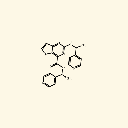 CC(Nc1nc(C(=O)N[C@@H](C)c2ccncc2)c2sccc2n1)c1ccncc1